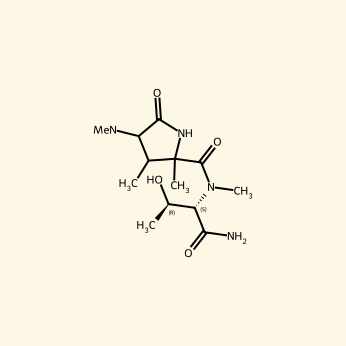 CNC1C(=O)NC(C)(C(=O)N(C)[C@H](C(N)=O)[C@@H](C)O)C1C